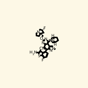 Cn1cc2c(n1)c(-c1ccc(F)c3sc(N)c(C#N)c13)cc1nc(OC[C@@]34CCCN3C[C@H](F)C4)nc(N3C[C@H]4CC[C@@H](C3)N4)c12